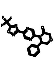 O=C1COCC(c2ccccc2)N1c1cnc(-c2noc(C(F)(F)F)n2)cn1